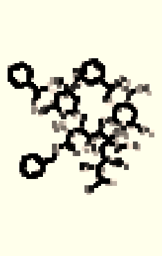 CO[C@](C)(C[C@@H](C)[C@H](O)C(C)=O)[C@H](O[C@@H]1O[C@H](C)C[C@H](N(C)C)[C@H]1OC(=O)c1ccccc1)[C@@H](C)[C@H](O[C@H]1C[C@@](C)(OC)[C@@H](OC(=O)c2ccccc2)[C@H](C)O1)[C@@H](C)C(=O)OCc1ccccc1